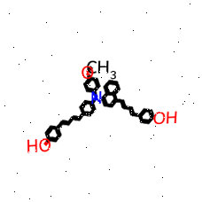 COc1ccc(N(c2ccc(C=CC=Cc3ccc(O)cc3)cc2)c2ccc(C=CC=Cc3ccc(O)cc3)c3ccccc23)cc1